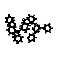 c1ccc(-c2nc(-c3ccccc3)nc(-c3cccc4oc5cc(-n6c7ccccc7c7ccc8c9ccccc9sc8c76)ccc5c34)n2)cc1